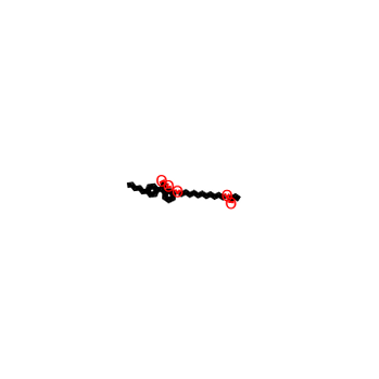 C=CC(=O)OCCCCCCCCCCCOc1cccc2c1OC(=O)C2c1ccc(CCCCC)cc1